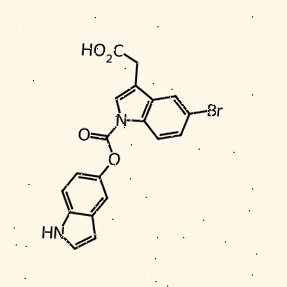 O=C(O)Cc1cn(C(=O)Oc2ccc3[nH]ccc3c2)c2ccc(Br)cc12